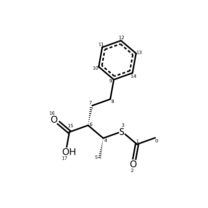 CC(=O)S[C@H](C)[C@@H](CCc1ccccc1)C(=O)O